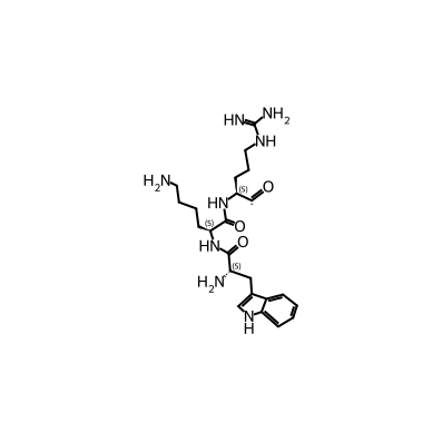 N=C(N)NCCC[C@@H]([C]=O)NC(=O)[C@H](CCCCN)NC(=O)[C@@H](N)Cc1c[nH]c2ccccc12